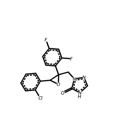 O=c1[nH]cnn1CC1(c2ccc(F)cc2F)OC1c1ccccc1Cl